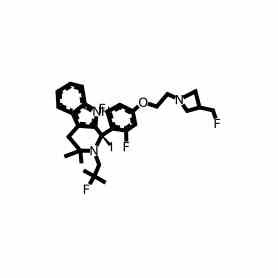 CC(C)(F)CN1C(C)(C)Cc2c([nH]c3ccccc23)[C@]1(I)c1c(F)cc(OCCN2CC(CF)C2)cc1F